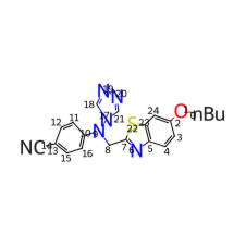 CCCCOc1ccc2nc(CN(c3ccc(C#N)cc3)n3cnnc3)sc2c1